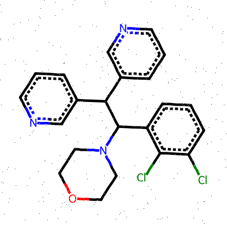 Clc1cccc(C(C(c2cccnc2)c2cccnc2)N2CCOCC2)c1Cl